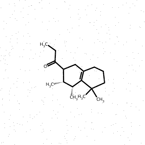 CCC(=O)C1CC2=C([C@H](C)[C@@H]1C)C(C)(C)CCC2